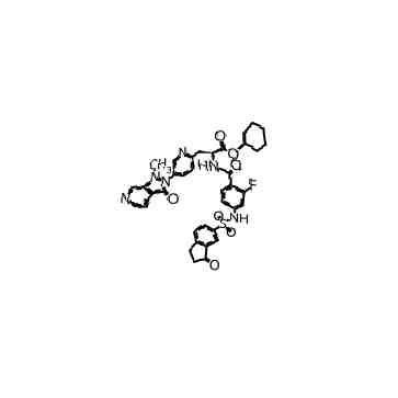 Cn1c2cnccc2c(=O)n1-c1ccc(C[C@H](NC(=O)c2ccc(NS(=O)(=O)c3ccc4c(c3)C(=O)CC4)cc2F)C(=O)OC2CCCCC2)nc1